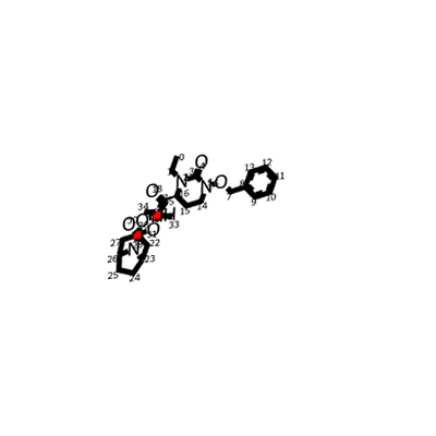 CCN1C(=O)N(OCc2ccccc2)CC[C@H]1C(=O)NOC1CC2CCC(C1)N2C(=O)OC(C)(C)C